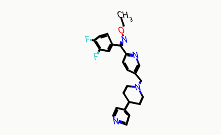 CCO/N=C(\c1ccc(F)c(F)c1)c1ccc(CN2CCC(c3ccncc3)CC2)cn1